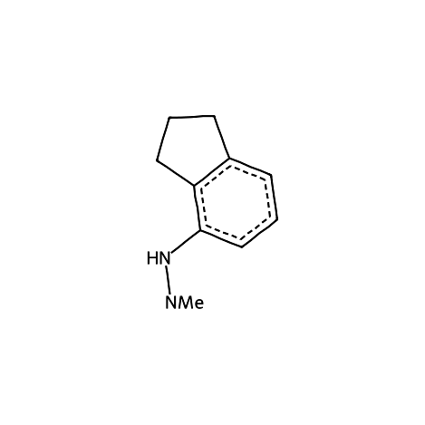 CNNc1cccc2c1CCC2